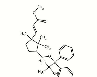 COC(=O)/C=C/C1(C)CCC(CO[Si](c2ccccc2)(c2ccccc2)C(C)(C)C)C1(C)C